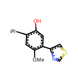 COc1cc(C(C)C)c(O)cc1-c1cscn1